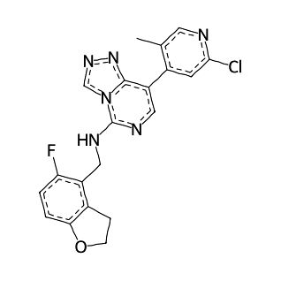 Cc1cnc(Cl)cc1-c1cnc(NCc2c(F)ccc3c2CCO3)n2cnnc12